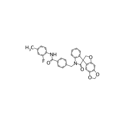 Cc1ccc(NC(=O)c2ccc(CN3C(=O)C4(COc5cc6c(cc54)OCO6)c4ccccc43)cc2)c(F)c1